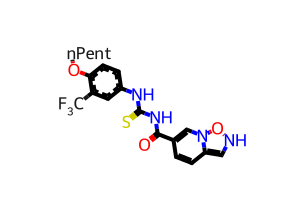 CCCCCOc1ccc(NC(=S)NC(=O)C2=CN3ONC=C3C=C2)cc1C(F)(F)F